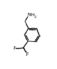 NCc1cc[c]c(C(F)F)c1